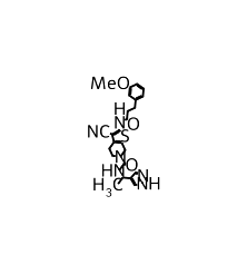 COc1cccc(CCC(=O)Nc2sc3c(c2C#N)CCN(C(=O)NC(C)c2cn[nH]c2)C3)c1